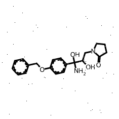 NC(O)(c1ccc(OCc2ccccc2)cc1)C(O)CN1CCCC1=O